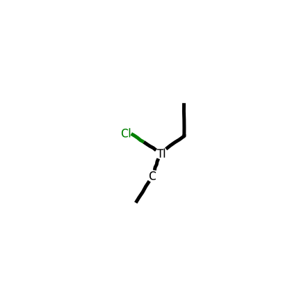 C[CH2][Tl]([Cl])[CH2]C